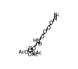 CC(=O)O[C@@H]1[C@@H](OC(C)=O)[C@H](C)O[C@@H](OCCCC(=O)NCCOCCOCCOCCOCCN=[N+]=[N-])[C@@H]1OC(C)=O